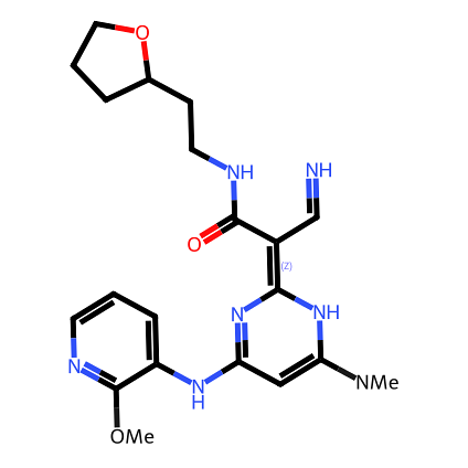 CNC1=CC(Nc2cccnc2OC)=N/C(=C(/C=N)C(=O)NCCC2CCCO2)N1